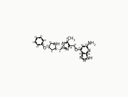 Cc1nn(C[C@@H]2C[C@H](Oc3ccccc3)CN2)nc1COc1cc(N)nc2[nH]nnc12